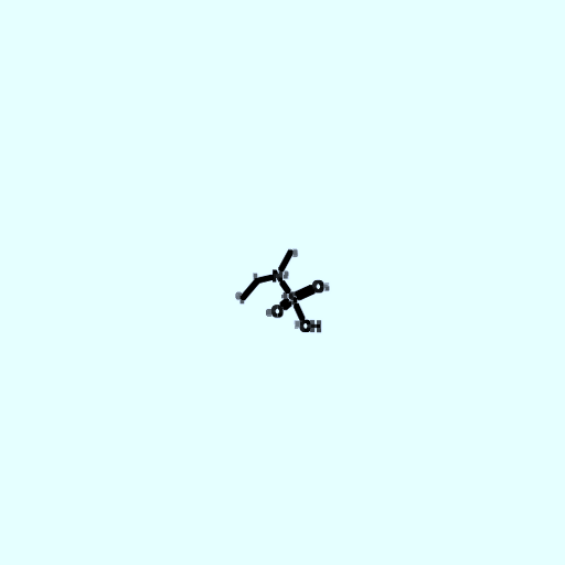 [CH2]CN(C)S(=O)(=O)O